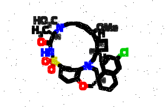 COC1=C=CCN(C(=O)O)[C@@H](C)C(=O)NS(=O)(=O)C2=CC3=C(CC2)OC[C@]2(CCCc4cc(Cl)ccc42)CN3C[C@@H]2CC[C@@H]12